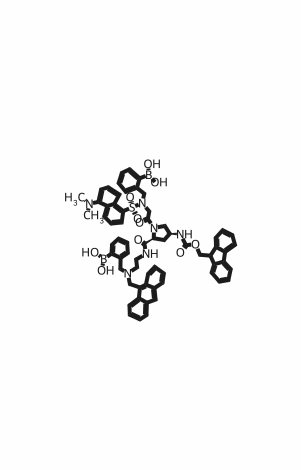 CN(C)c1cccc2c(S(=O)(=O)N(CC(=O)N3C[C@@H](NC(=O)OCC4c5ccccc5-c5ccccc54)C[C@H]3C(=O)NCCN(Cc3ccccc3B(O)O)Cc3c4ccccc4cc4ccccc34)Cc3ccccc3B(O)O)cccc12